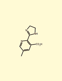 Cc1cnc(C2=NCCN2)c(C(=O)O)c1